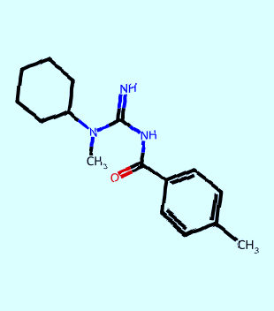 Cc1ccc(C(=O)NC(=N)N(C)C2CCCCC2)cc1